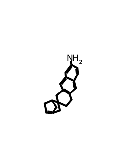 Nc1ccc2cc3c(cc2c1)CC1(CC3)CC2=CCC1C2